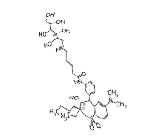 CCCC[C@]1(CC)CS(=O)(=O)c2ccc(N(C)C)cc2C(c2cccc(NC(=O)CCCCNCC(O)[C@@H](O)C(O)C(O)CO)c2)[C@H]1O